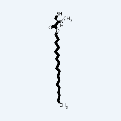 CCCCCCCCCCCCCCCCCCOC(=O)[C@@H](CS)NC